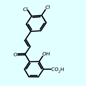 O=C(O)c1cccc(C(=O)C=Cc2ccc(Cl)c(Cl)c2)c1O